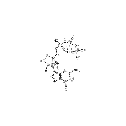 Nc1nc2c(ncn2[C@@H]2O[C@@]3(COP(=O)(O)OP(=O)(O)OP(=O)(O)O)CO[C@@H]2[C@@H]3O)c(=O)[nH]1